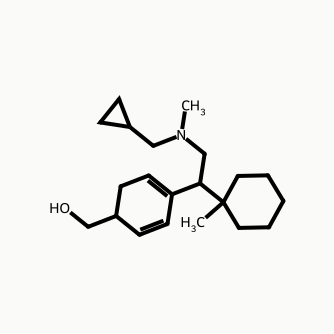 CN(CC1CC1)CC(C1=CCC(CO)C=C1)C1(C)CCCCC1